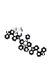 C=Cc1c(/C=C\C)n(-c2ccc3c(c2)N(c2ccccc2)c2ccc(-n4c5ccccc5c5c(-c6cccc7oc8ccccc8c67)cccc54)cc2[Si]3(c2ccccc2)c2ccccc2)c2cccc(-c3cccc4oc5ccccc5c34)c12